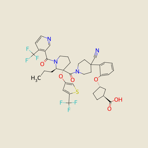 CCC[C@H]1N(C(=O)c2cnccc2C(F)(F)F)CCC[C@@]1(Oc1csc(C(F)(F)F)c1)C(=O)N1CCC(C#N)(c2ccccc2O[C@H]2CC[C@H](C(=O)O)C2)CC1